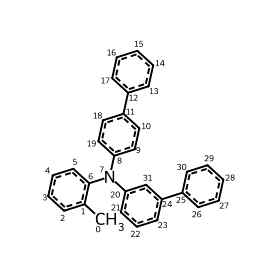 Cc1ccccc1N(c1ccc(-c2ccccc2)cc1)c1cccc(-c2ccccc2)c1